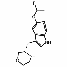 FC(F)Oc1ccc2[nH]cc(C[C@H]3COCCN3)c2c1